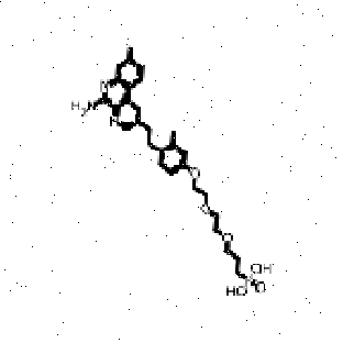 Cc1ccc2c(c1)nc(N)c1ncc(CCc3ccc(OCCOCCOCCCP(=O)(O)O)cc3C)cc12